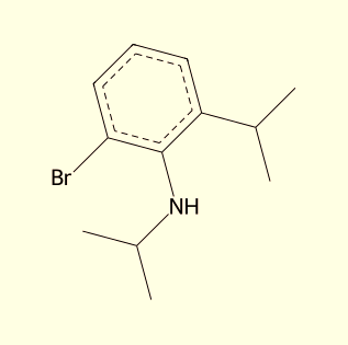 CC(C)Nc1c(Br)cccc1C(C)C